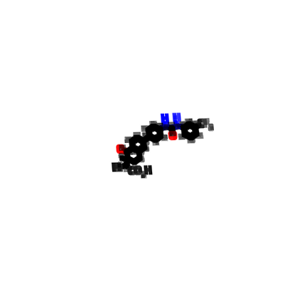 CCC(C(=O)O)C1(C)CCc2cc(-c3ccc(NC(=O)Nc4cccc(C(F)(F)F)c4)cc3)ccc2C1=O